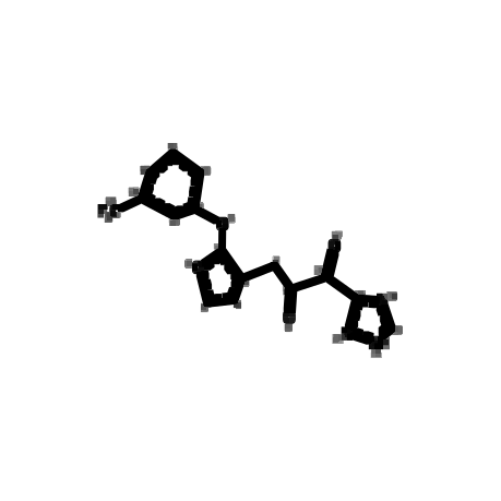 O=C(Cc1ccoc1Oc1cccc(C(F)(F)F)c1)C(=O)c1nc[nH]n1